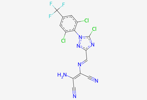 N#CC(N)=C(C#N)N=Cc1nc(Cl)n(-c2c(Cl)cc(C(F)(F)F)cc2Cl)n1